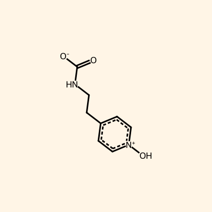 O=C([O-])NCCc1cc[n+](O)cc1